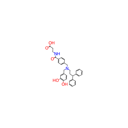 O=C(O)CCNC(=O)c1ccc(CN(CCC(c2ccccc2)c2ccccc2)Cc2ccc(O)c(O)c2)cc1